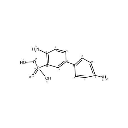 Nc1ccc(-c2ccc(N)c(P(=O)(O)OO)c2)cc1